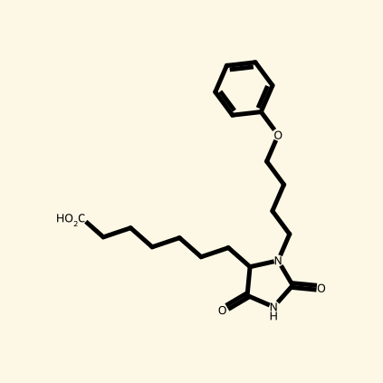 O=C(O)CCCCCCC1C(=O)NC(=O)N1CCCCOc1ccccc1